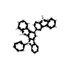 c1ccc(-n2c3ccccc3c3cc(-c4ccc5sc6ccccc6c5c4)c4c5ccccc5sc4c32)cc1